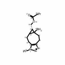 BC12CCc3nnn(C(C)C)c3CCC1[C@@H]2COC(=O)C(C)C